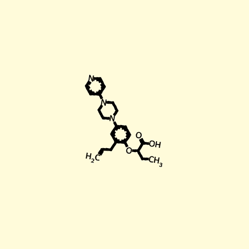 C=CCc1cc(N2CCN(c3ccncc3)CC2)ccc1OC(CC)C(=O)O